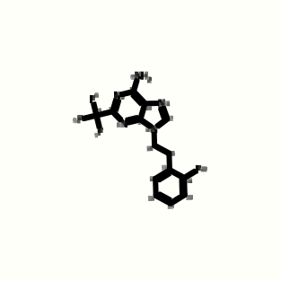 Nc1nc(C(F)(F)F)nc2c1ncn2CCc1ccccc1F